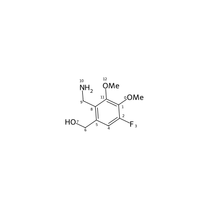 COc1c(F)cc(CO)c(CN)c1OC